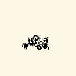 Cc1c(-c2cnn(C)c2)cnc(N2CCCC(F)(F)CC2)c1C(=O)Nc1cccc(S(C)(=O)=NC(=O)C(C)O[Si](C)(C)C(C)(C)C)c1